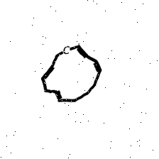 [C]1=C/C=C\CCC/C=C/C/C=C/CC/1